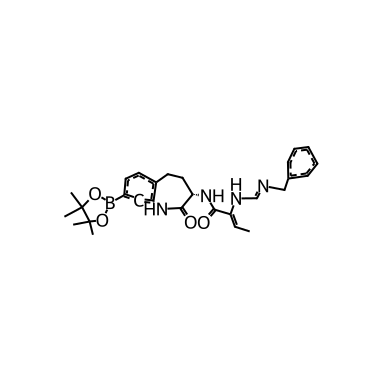 C/C=C(\N/C=N/Cc1ccccc1)C(=O)N[C@H]1CCc2ccc(B3OC(C)(C)C(C)(C)O3)cc2NC1=O